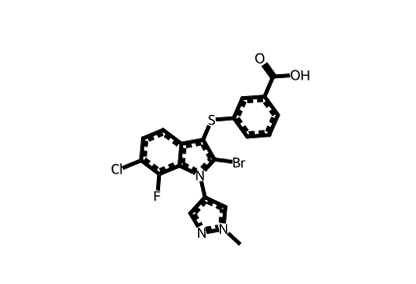 Cn1cc(-n2c(Br)c(Sc3cccc(C(=O)O)c3)c3ccc(Cl)c(F)c32)cn1